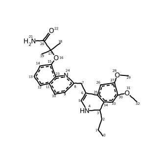 CCCC1NC=C(Cc2ccc3cccc(OC(C)(C)C(N)=O)c3n2)c2cc(OC)c(OC)cc21